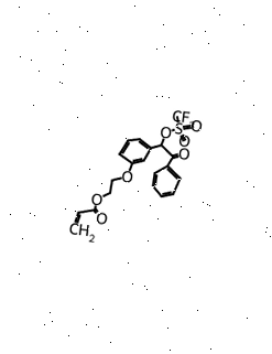 C=CC(=O)OCCOc1cccc(C(OS(=O)(=O)C(F)(F)F)C(=O)c2ccccc2)c1